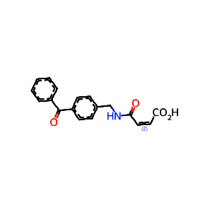 O=C(O)/C=C\C(=O)NCc1ccc(C(=O)c2ccccc2)cc1